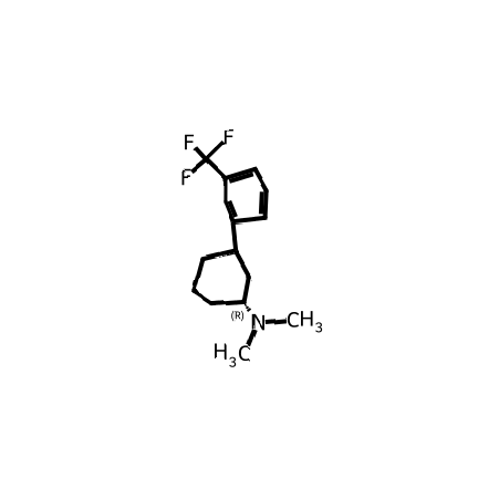 CN(C)[C@@H]1CCCC(c2cccc(C(F)(F)F)c2)C1